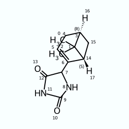 CC1(C)[C@H]2CC=C(C3NC(=O)NC3=O)[C@H]1C2